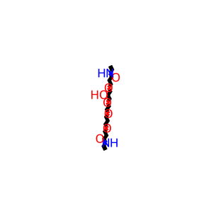 C=CNC(=O)CCOCCCOCCOCC(O)COCCC(=O)NC=C